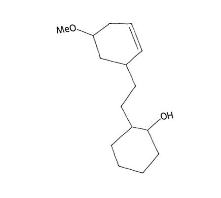 COC1CC=CC(CCC2CCCCC2O)C1